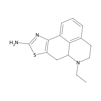 CCN1CCc2cccc3c2C1Cc1sc(N)nc1-3